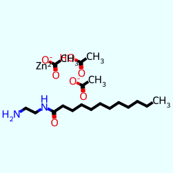 CC(=O)O.CC(=O)[O-].CC(=O)[O-].CCCCCCCCCCCC(=O)NCCN.[Zn+2]